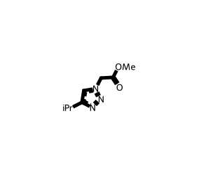 COC(=O)Cn1cc(C(C)C)nn1